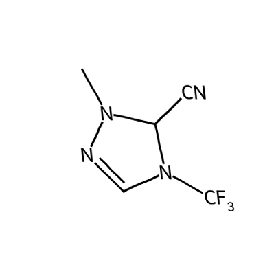 CN1N=CN(C(F)(F)F)C1C#N